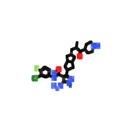 CC(CC1CC2CC(c3nn(C)c(N)c3C(=O)Nc3ccc(F)c(Cl)c3)CC2C1)C(=O)C1CCNCC1